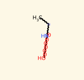 CCCCCCCC/C=C\CCCCCCCC(=O)NCCOCCOCCOCCOCCOCCO